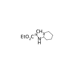 CCOC(=O)[C@H](C)NC1CCCCC1